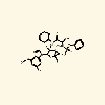 CCOc1nc(N)nc2c1ncn2[C@@H]1OC2(F)[C@@H](OP(=O)(NC(C)C(=O)OC3CCCCC3)Oc3ccccc3)[C@]2(O)[C@@]1(C)F